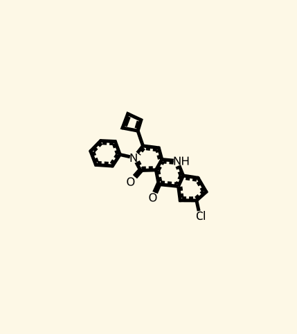 O=c1c2cc(Cl)ccc2[nH]c2cc(C3=CC=C3)n(-c3ccccc3)c(=O)c12